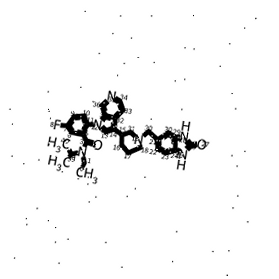 CCN(C(=O)c1cc(F)ccc1-n1cc(C2CCCN(Cc3ccc4[nH]c(=O)[nH]c4c3)C2)c2ccncc21)C(C)C